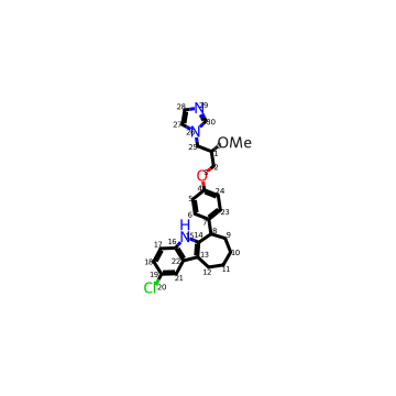 COC(COc1ccc(C2CCCCc3c2[nH]c2ccc(Cl)cc32)cc1)Cn1ccnc1